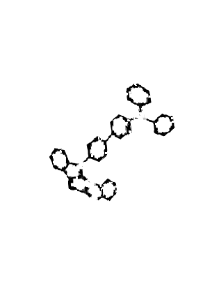 c1ccc(N(c2ccccc2)c2ccc(-c3ccc(-n4c5ccccc5c5cc6oc7ccccc7n6c54)cc3)cc2)cc1